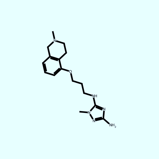 CN1CCc2c(cccc2OCCCNc2nc(N)nn2C)C1